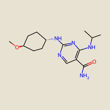 CO[C@H]1CC[C@H](Nc2ncc(C(N)=O)c(NC(C)C)n2)CC1